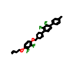 C=CCCOc1ccc(OCC2CCC(c3ccc(-c4ccc(C)cc4)c(F)c3F)CC2)c(F)c1F